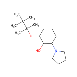 CC(C)(C)[Si](C)(C)OC1CCCC(N2CCCC2)C1O